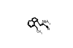 CCc1cccc2cccc(C[C@H](N)C#N)c12